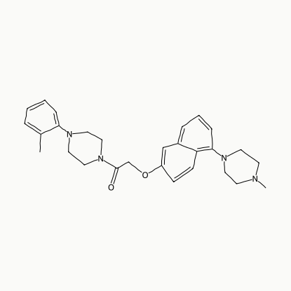 Cc1ccccc1N1CCN(C(=O)COc2ccc3c(N4CCN(C)CC4)cccc3c2)CC1